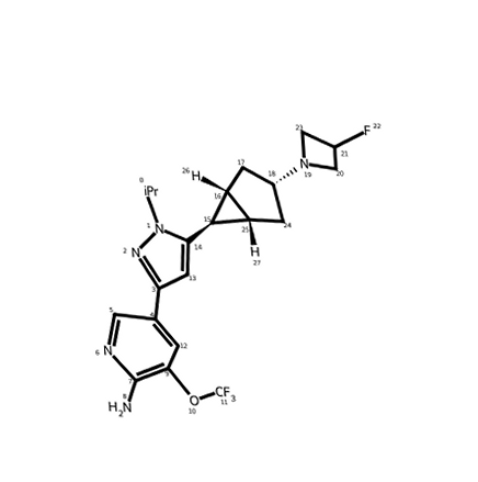 CC(C)n1nc(-c2cnc(N)c(OC(F)(F)F)c2)cc1[C@H]1[C@@H]2C[C@H](N3CC(F)C3)C[C@@H]21